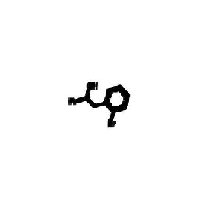 CC(C)C(O)Cc1ccccc1Br